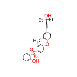 CCC(O)(C#Cc1ccc(Oc2ccc(S(=O)(=O)c3ccccc3O)cc2)c(C)c1)CC